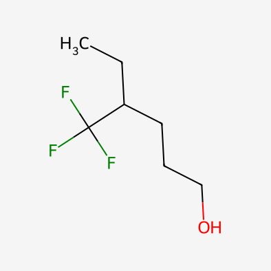 CCC(CCCO)C(F)(F)F